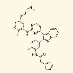 Cc1ccc(-c2nn3ccccc3c2-c2ccnc(Nc3cc(OCCN(C)C)ccc3C)n2)cc1NC(=O)Cc1cccs1